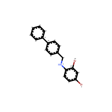 Brc1ccc(NCc2ccc(-c3ccccc3)cc2)c(Br)c1